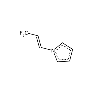 FC(F)(F)C=Cn1cccc1